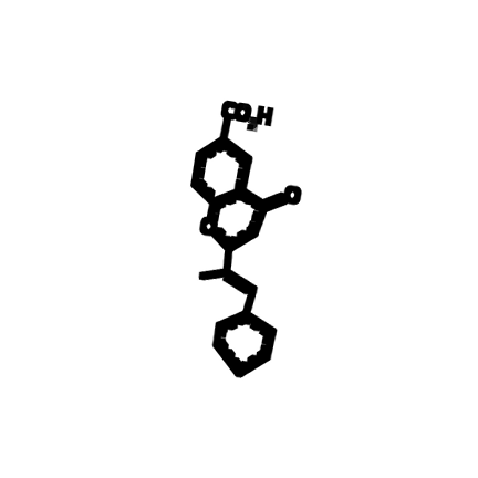 CC(=Cc1ccccc1)c1cc(=O)c2cc(C(=O)O)ccc2o1